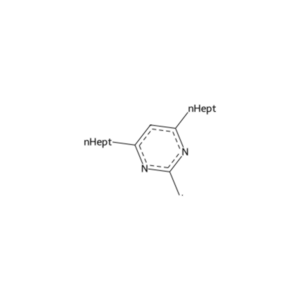 [CH2]c1nc(CCCCCCC)cc(CCCCCCC)n1